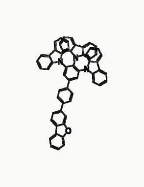 c1ccc2c(c1)oc1cc(-c3ccc(-c4cc(-n5c6ccccc6c6ccccc65)c(-n5c6ccccc6c6ccccc65)c(-n5c6ccccc6c6ccccc65)c4)cc3)ccc12